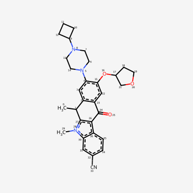 CC1c2cc(N3CCN(C4CCC4)CC3)c(OC3CCOC3)cc2C(=O)c2c1n(C)c1cc(C#N)ccc21